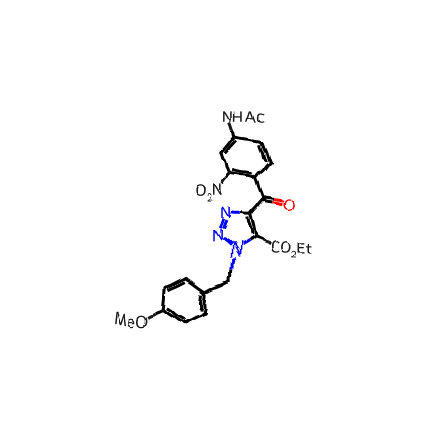 CCOC(=O)c1c(C(=O)c2ccc(NC(C)=O)cc2[N+](=O)[O-])nnn1Cc1ccc(OC)cc1